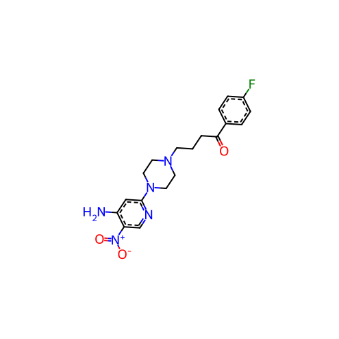 Nc1cc(N2CCN(CCCC(=O)c3ccc(F)cc3)CC2)ncc1[N+](=O)[O-]